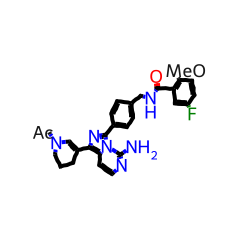 COc1ccc(F)cc1C(=O)NCc1ccc(-c2nc(C3=CN(C(C)=O)CCC3)c3ccnc(N)n23)cc1